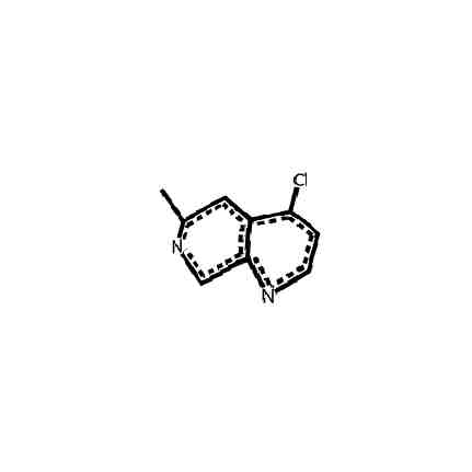 Cc1cc2c(Cl)ccnc2cn1